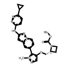 Cn1ncc(OC[C@H]2CCN2C(=O)OC(C)(C)C)c1-c1ccn2nc(Nc3ccc(C4CC4)nn3)cc2c1